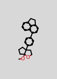 COC12CCCC1(c1ccc(-c3ccc4c5c(cccc35)CC4)cc1)CCO2